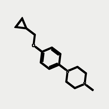 CN1CCN(c2ccc(OCC3CC3)cc2)CC1